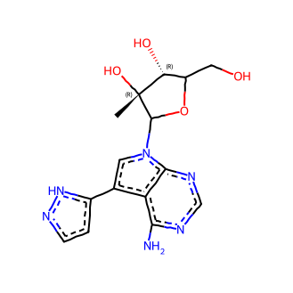 C[C@]1(O)C(n2cc(-c3ccn[nH]3)c3c(N)ncnc32)OC(CO)[C@H]1O